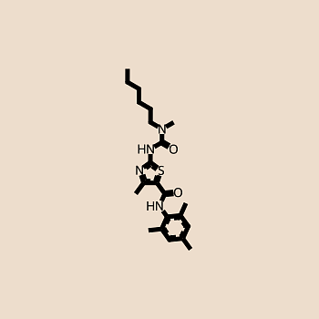 CCCCCCN(C)C(=O)Nc1nc(C)c(C(=O)Nc2c(C)cc(C)cc2C)s1